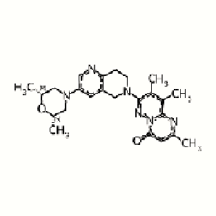 Cc1cc(=O)n2nc(N3CCc4ncc(N5C[C@@H](C)O[C@@H](C)C5)cc4C3)c(C)c(C)c2n1